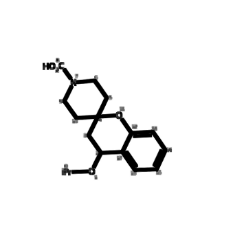 CC(C)OC1CC2(CCN(C(=O)O)CC2)Oc2ccccc21